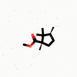 COC(=O)[C@]1(C)CC[C@@H](C)C1(C)C